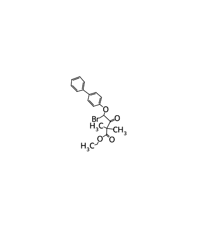 CCOC(=O)C(C)(C)C(=O)C(Br)Oc1ccc(-c2ccccc2)cc1